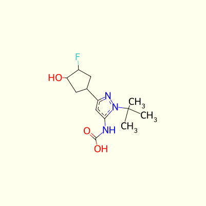 CC(C)(C)n1nc(C2CC(O)C(F)C2)cc1NC(=O)O